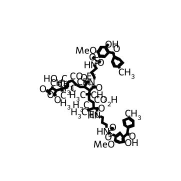 CCOC(=O)C(C(CC(C)(C)C1C(=O)OC(=O)C1C)C(=O)O)C(C)(C)CC1C(=O)N(CCCNS(=O)(=O)c2cc(C(=O)c3ccc(C)cc3)c(O)cc2OC)C(=O)C1C(C)(C)CC(C(=O)O)C(C(=O)NCCCNS(=O)(=O)c1cc(C(=O)c2ccc(C)cc2)c(O)cc1OC)C(C)(C)CC